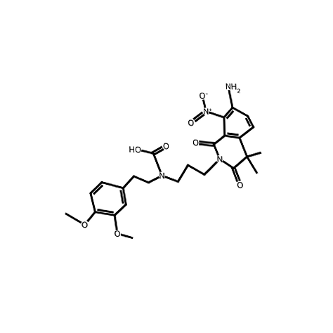 COc1ccc(CCN(CCCN2C(=O)c3c(ccc(N)c3[N+](=O)[O-])C(C)(C)C2=O)C(=O)O)cc1OC